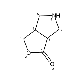 O=C1OCC2CNCC12